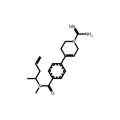 C=CCC(C)N(C)C(=O)c1ccc(C2=CCN(C(=N)N)CC2)cc1